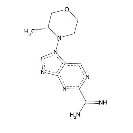 C[C@@H]1COCCN1n1cnc2nc(C(=N)N)ncc21